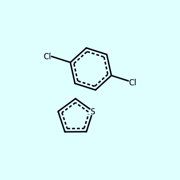 Clc1ccc(Cl)cc1.c1ccsc1